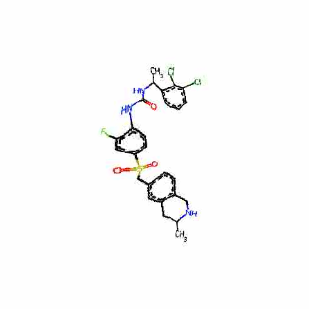 CC1Cc2cc(CS(=O)(=O)c3ccc(NC(=O)NC(C)c4cccc(Cl)c4Cl)c(F)c3)ccc2CN1